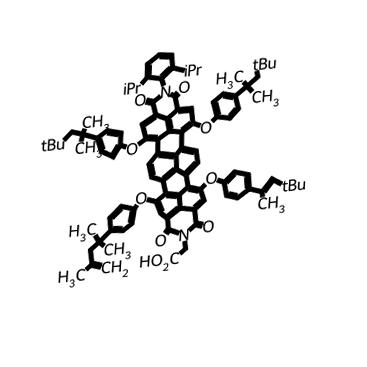 C=C(C)CC(C)(C)c1ccc(Oc2cc3c4c(cc(Oc5ccc(/C(C)=C/C(C)(C)C)cc5)c5c6ccc7c8c(Oc9ccc(C(C)(C)CC(C)(C)C)cc9)cc9c%10c(cc(Oc%11ccc(C(C)(C)CC(C)(C)C)cc%11)c(c%11ccc(c2c45)c6c7%11)c%108)C(=O)N(c2c(C(C)C)cccc2C(C)C)C9=O)C(=O)N(CC(=O)O)C3=O)cc1